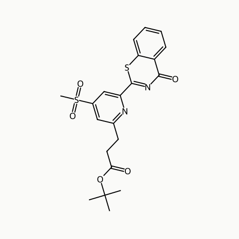 CC(C)(C)OC(=O)CCc1cc(S(C)(=O)=O)cc(-c2nc(=O)c3ccccc3s2)n1